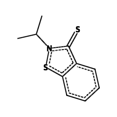 CC(C)n1sc2ccccc2c1=S